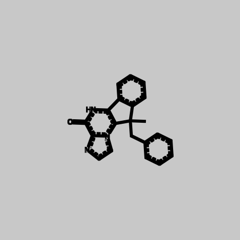 CC1(Cc2ccccc2)c2ccccc2-c2[nH]c(=O)c3nccn3c21